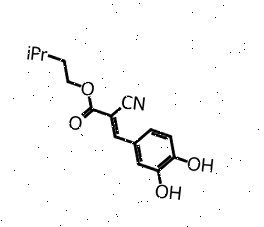 CC(C)CCOC(=O)/C(C#N)=C/c1ccc(O)c(O)c1